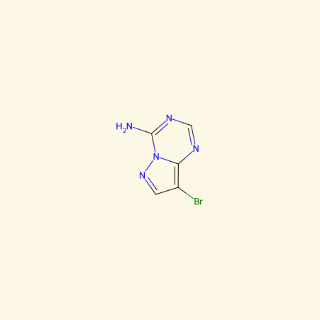 Nc1ncnc2c(Br)cnn12